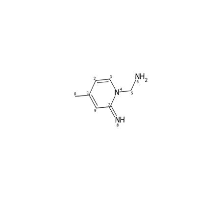 Cc1ccn(CN)c(=N)c1